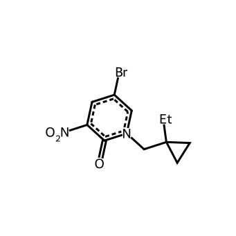 CCC1(Cn2cc(Br)cc([N+](=O)[O-])c2=O)CC1